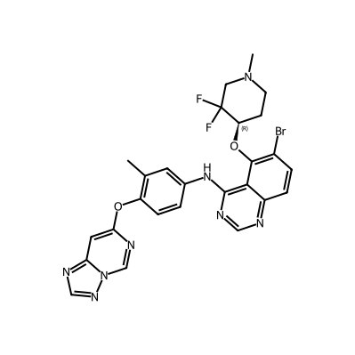 Cc1cc(Nc2ncnc3ccc(Br)c(O[C@@H]4CCN(C)CC4(F)F)c23)ccc1Oc1cc2ncnn2cn1